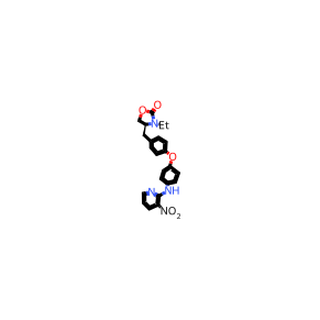 CCN1C(=O)OC[C@@H]1Cc1ccc(Oc2ccc(Nc3ncccc3[N+](=O)[O-])cc2)cc1